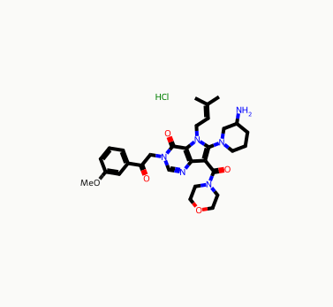 COc1cccc(C(=O)Cn2cnc3c(C(=O)N4CCOCC4)c(N4CCCC(N)C4)n(CC=C(C)C)c3c2=O)c1.Cl